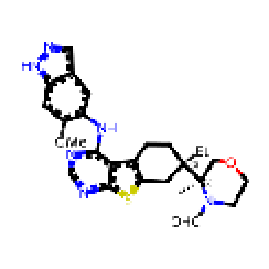 CC[C@]1([C@@]2(C)COCCN2C=O)CCc2c(sc3ncnc(Nc4cc5cn[nH]c5cc4OC)c23)C1